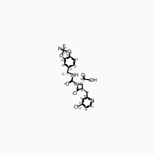 C[C@@H](NC(=O)N1C(=O)[C@H](Cc2cc(Cl)ccn2)[C@H]1C(=O)O)c1ccc2c(c1)OC(F)(F)O2